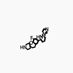 Fc1cc(C2=CC=CN(n3ccnc3)N2)cc2c1OC1(CCNCC1)CC2